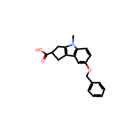 Cn1c2c(c3cc(OCc4ccccc4)ccc31)CC(C(=O)O)C2